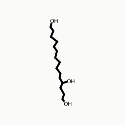 OCCCCCCCCCCCC(O)CCCO